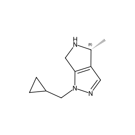 C[C@H]1NCc2c1cnn2CC1CC1